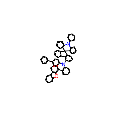 c1ccc(-c2ccc(N(c3ccccc3-c3cccc4c3oc3ccccc34)c3cccc4c3-c3ccccc3C43c4ccccc4N(c4ccccc4)c4ccccc43)cc2)cc1